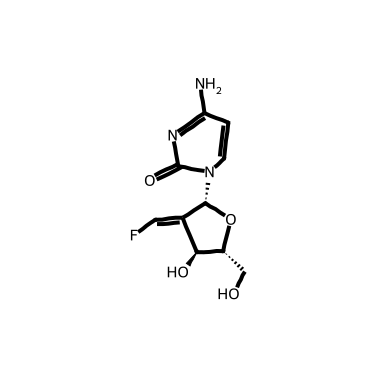 Nc1ccn([C@@H]2O[C@H](CO)[C@@H](O)/C2=C\F)c(=O)n1